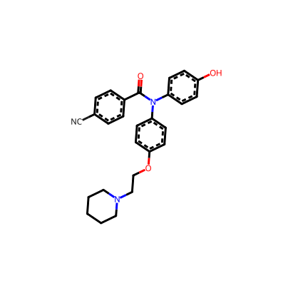 N#Cc1ccc(C(=O)N(c2ccc(O)cc2)c2ccc(OCCN3CCCCC3)cc2)cc1